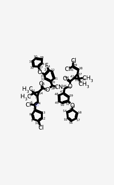 CC1(C)C(/C=C(\Cl)c2ccc(Cl)cc2)C1C(=O)OC(C#N)c1ccc(F)c(Oc2ccccc2)c1.CC1(C)C(C=C(Cl)Cl)C1C(=O)OCc1cccc(Oc2ccccc2)c1